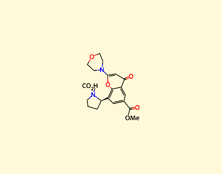 COC(=O)c1cc([C@H]2CCCN2C(=O)O)c2oc(N3CCOCC3)cc(=O)c2c1